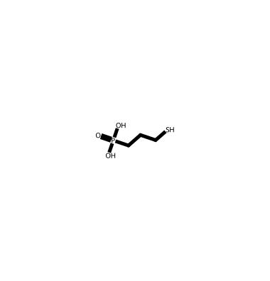 O=P(O)(O)CCCS